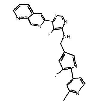 Cc1cc(-c2ncc(CNc3ncnc(-c4cc5cccnc5cn4)c3F)cc2F)ccn1